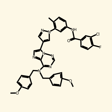 COc1ccc(CN(Cc2ccc(OC)cc2)c2ncnn3c(-c4cnn(-c5cc(NC(=O)c6ccc(F)c(Cl)c6)ccc5C)c4)cnc23)cc1